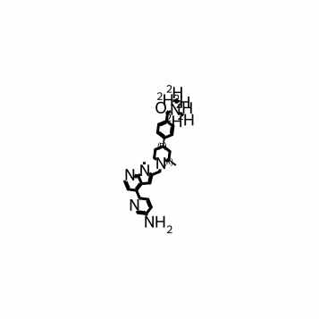 [2H]C([2H])([2H])N(C(=O)c1ccc([C@@H]2CCN(Cc3cc4c(-c5ccc(N)cn5)ccnc4n3C)[C@H](C)C2)cc1)C([2H])([2H])[2H]